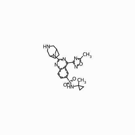 Cc1nc(-c2nc(N3C4CCC3CNC4)nc3ccc(S(=O)(=O)NC4(C)CC4)cc23)no1